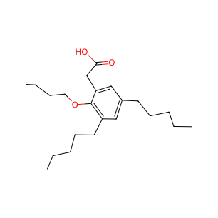 CCCCCc1cc(CCCCC)c(OCCCC)c(CC(=O)O)c1